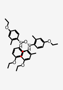 CCOc1ccc([SiH](O[SiH](c2ccc(OCC)cc2C)c2ccc(OCC)cc2C)c2ccc(OCC)cc2C)c(C)c1